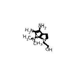 CN(C)n1c(N)c(N)c2ccn(CCO)c21